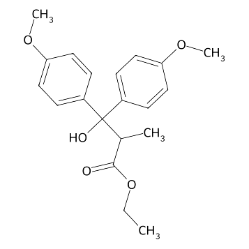 CCOC(=O)C(C)C(O)(c1ccc(OC)cc1)c1ccc(OC)cc1